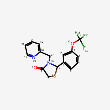 O=C1CSC(c2cccc(OC(F)(F)F)c2)N1Cc1ccccn1